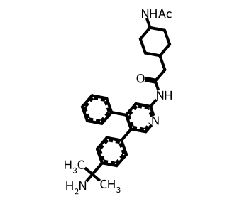 CC(=O)NC1CCC(CC(=O)Nc2cc(-c3ccccc3)c(-c3ccc(C(C)(C)N)cc3)cn2)CC1